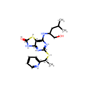 CC(C)CC(CO)Nc1nc(S[C@@H](C)c2ccccn2)nc2[nH]c(=O)sc12